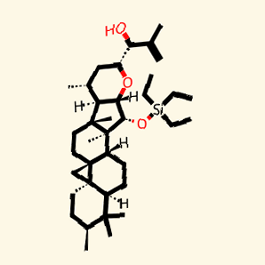 C=C(C)C(O)[C@H]1C[C@@H](C)[C@H]2[C@H](O1)[C@H](O[Si](CC)(CC)CC)[C@@]1(C)[C@@H]3CC[C@H]4C(C)(C)[C@@H](C)CC[C@@]45C[C@@]35CC[C@]21C